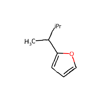 CC(C)C(C)c1ccco1